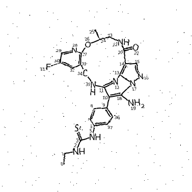 CCNC(=S)Nc1ccc(-c2c3nc4c(cnn4c2N)C(=O)NC[C@H](C)Oc2ncc(F)cc2CN3)cc1